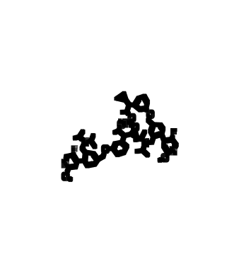 COc1cc(-c2ccc(COc3cccc(C(C4CC4)C(C)O[PH](=O)OC(C)C(c4cccc(OCc5ccc(-c6cc(OC)ncc6F)c(CN(C(C)C)C(C)C)c5)c4)C4CC4)c3)cc2CN(C(C)C)C(C)C)c(F)cn1